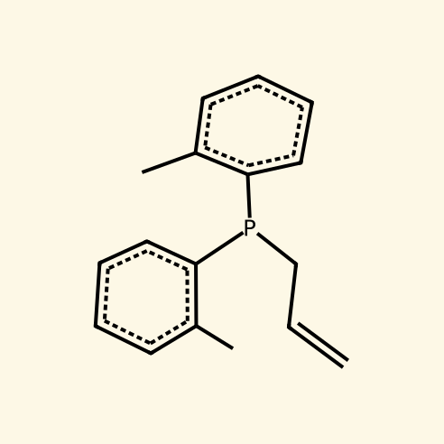 C=CCP(c1ccccc1C)c1ccccc1C